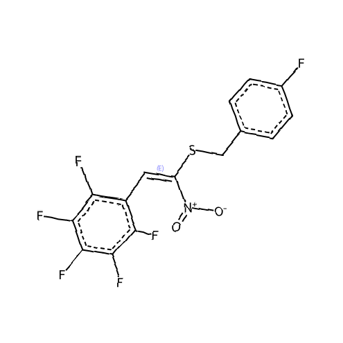 O=[N+]([O-])/C(=C\c1c(F)c(F)c(F)c(F)c1F)SCc1ccc(F)cc1